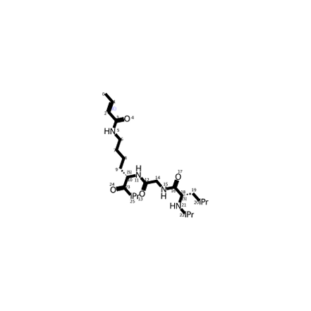 C/C=C/C(=O)NCCCC[C@H](NC(=O)CNC(=O)[C@H](CC(C)C)NC(C)C)C(=O)C(C)C